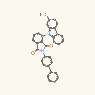 O=C1c2cccc(-n3c4ccccc4c4ccc(C(F)(F)F)cc43)c2C(=O)N1c1ccc(-c2ccccc2)cc1